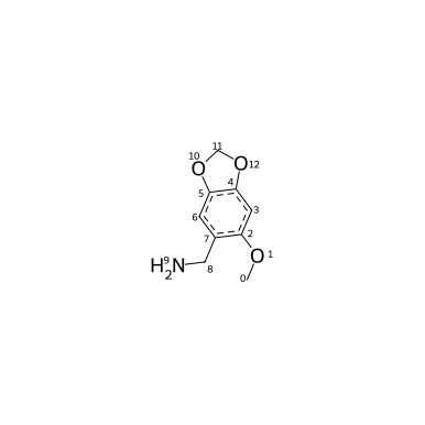 COc1cc2c(cc1CN)OCO2